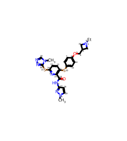 CCN1CC(COc2ccc(Sc3ccc(Sc4nncn4C)nc3C(=O)Nc3ccn(C)n3)cc2)C1